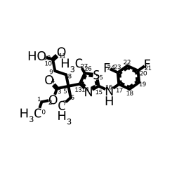 CCOC(=O)C(CC)(CCC(=O)O)c1nc(Nc2ccc(F)cc2F)sc1C